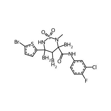 BC1C(B)(c2ccc(Br)s2)NS(=O)(=O)N(C)C1(B)C(=O)Nc1ccc(F)c(Cl)c1